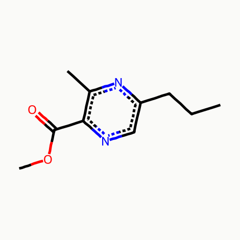 CCCc1cnc(C(=O)OC)c(C)n1